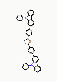 c1ccc(-n2c3ccccc3c3ccc(-c4ccc(C5CCC(c6ccc(-c7ccc8c9ccccc9n(-c9ccccc9)c8c7)cc6)S5)cc4)cc32)cc1